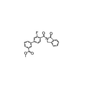 COC(=O)c1cccc(-c2ccc(C(=O)N3Cc4ccccc4C3=O)c(F)c2)c1